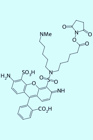 CNCCCCCN(CCCCCC(=O)ON1C(=O)CCC1=O)S(=O)(=O)c1c2oc3c(S(=O)(=O)O)c(N)ccc3c(-c3ccccc3C(=O)O)c-2ccc1=N